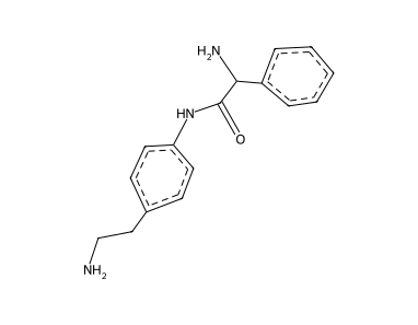 NCCc1ccc(NC(=O)C(N)c2ccccc2)cc1